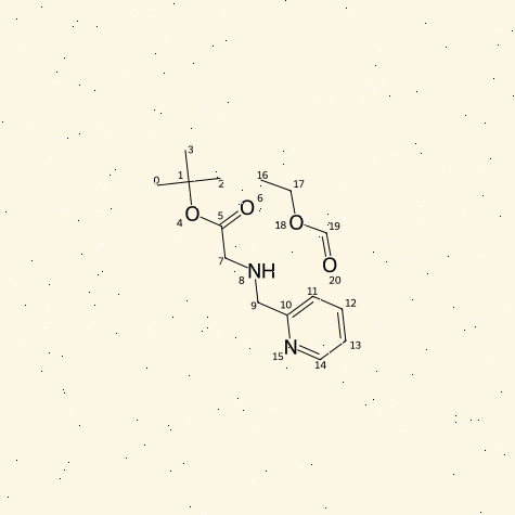 CC(C)(C)OC(=O)CNCc1ccccn1.CCOC=O